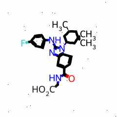 C[C@H]1C[C@H](n2c(Nc3ccc(F)cc3)nc3cc(C(=O)NCC(=O)O)ccc32)CC(C)(C)C1